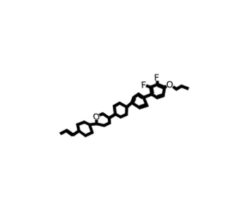 C/C=C/C1CCC(C2CCC(C3CCC(c4ccc(-c5ccc(OCCC)c(F)c5F)cc4)CC3)CO2)CC1